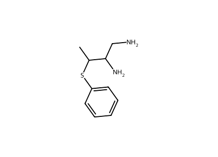 CC(Sc1ccccc1)C(N)CN